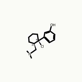 CN(C)C[C@H]1CCCC[C@]1(Cl)c1cccc(O)c1